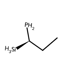 CC[C@@H]([SiH3])P